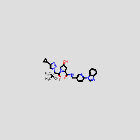 CC(C)(C)[C@@H](C(=O)N1CC(O)CC1C(=O)NCc1ccc(-n2cnc3ccccc32)nc1)n1cc(C2CC2)nn1